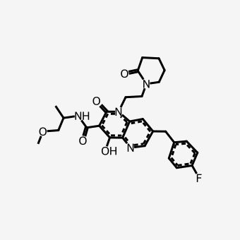 COCC(C)NC(=O)c1c(O)c2ncc(Cc3ccc(F)cc3)cc2n(CCN2CCCCC2=O)c1=O